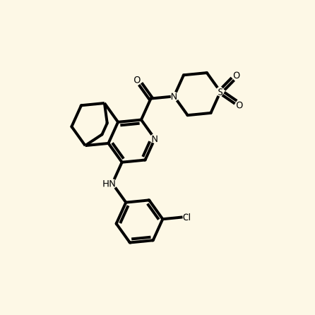 O=C(c1ncc(Nc2cccc(Cl)c2)c2c1C1CCC2CC1)N1CCS(=O)(=O)CC1